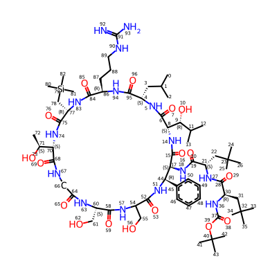 CC(C)C[C@@H]1NC(=O)[C@H]([C@H](O)C(C)C)NC(=O)[C@@H](NC(=O)[C@H](CC(C)(C)C)NC(=O)[C@@H](CC(C)(C)C)NC(=O)OC(C)(C)C)[C@@H](c2ccccc2)NC(=O)C(CO)NC(=O)[C@H](CO)NC(=O)CNC(=O)[C@H]([C@H](C)O)NC(=O)[C@H](C[Si](C)(C)C)NC(=O)[C@@H](CCCNC(=N)N)NC1=O